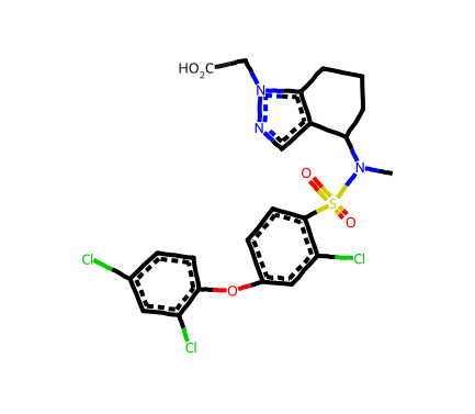 CN(C1CCCc2c1cnn2CC(=O)O)S(=O)(=O)c1ccc(Oc2ccc(Cl)cc2Cl)cc1Cl